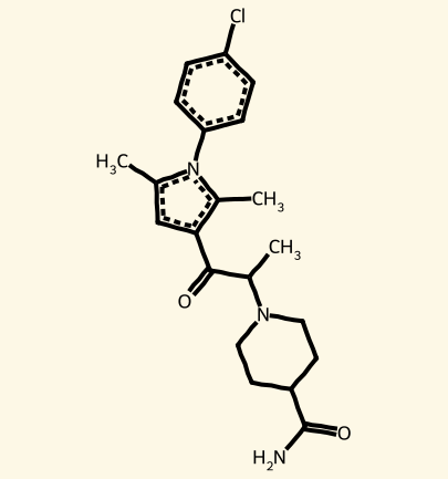 Cc1cc(C(=O)C(C)N2CCC(C(N)=O)CC2)c(C)n1-c1ccc(Cl)cc1